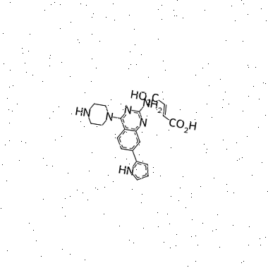 Nc1nc(N2CCNCC2)c2ccc(-c3ccc[nH]3)cc2n1.O=C(O)C=CC(=O)O